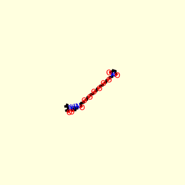 CC(=O)[C@@H](NC(=O)C(C)(C)CNC(=O)CCOCCOCCOCCOCCOCCOCCN1C(=O)C=CC1=O)C(C)C